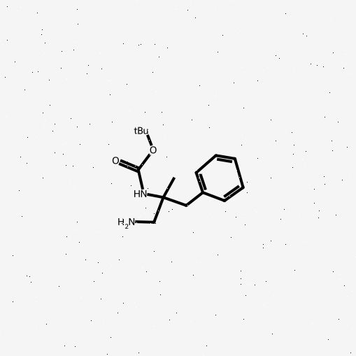 CC(CN)(Cc1ccccc1)NC(=O)OC(C)(C)C